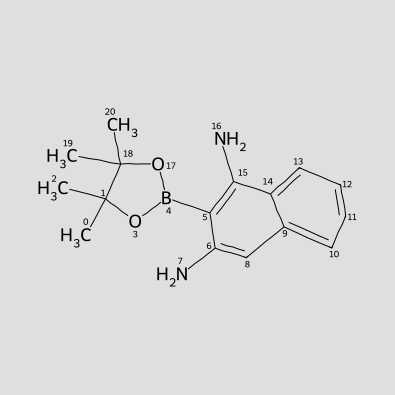 CC1(C)OB(c2c(N)cc3ccccc3c2N)OC1(C)C